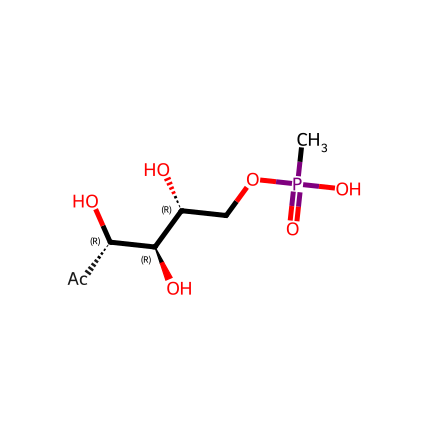 CC(=O)[C@H](O)[C@H](O)[C@H](O)COP(C)(=O)O